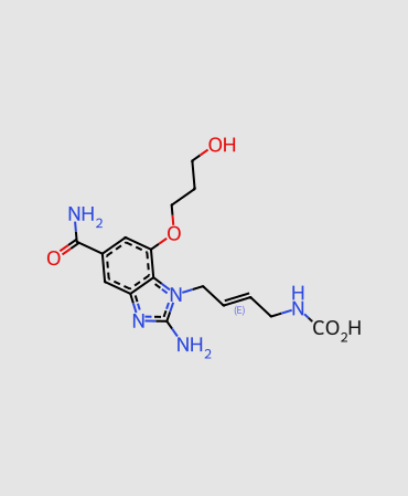 NC(=O)c1cc(OCCCO)c2c(c1)nc(N)n2C/C=C/CNC(=O)O